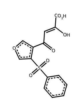 O=C(O)C(O)=CC(=O)c1cocc1S(=O)(=O)c1ccccc1